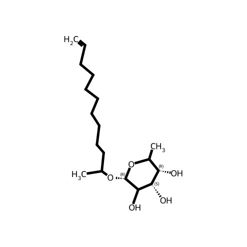 C=CCCCCCCCCC(C)O[C@@H]1OC(C)[C@H](O)[C@H](O)C1O